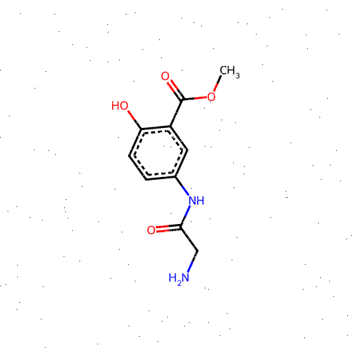 COC(=O)c1cc(NC(=O)CN)ccc1O